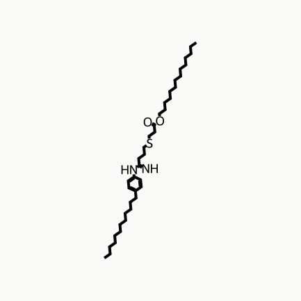 CCCCCCCCCCCCCCOC(=O)CCSCCCC(=N)Nc1ccc(CCCCCCCCCCCC)cc1